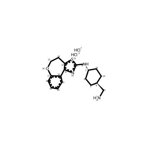 Cl.Cl.NC[C@H]1CC[C@H](Nc2nc3c(s2)CCOc2ccccc2-3)CC1